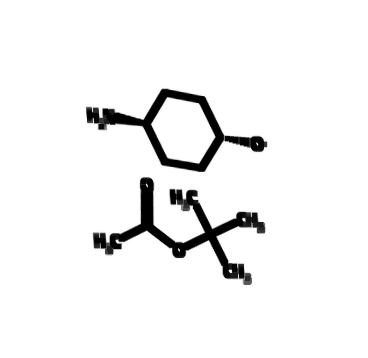 CC(=O)OC(C)(C)C.N[C@H]1CC[C@H]([O])CC1